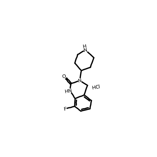 Cl.O=C1Nc2c(F)cccc2CN1C1CCNCC1